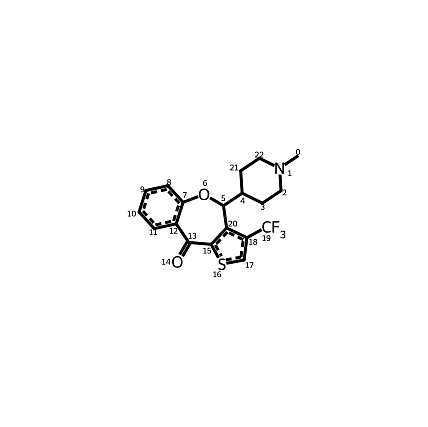 CN1CCC(C2Oc3ccccc3C(=O)c3scc(C(F)(F)F)c32)CC1